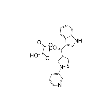 O=C(O)C(=O)O.O=C(c1c[nH]c2ccccc12)C1CSN(c2cccnc2)C1